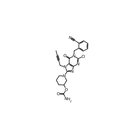 CC#CCn1c(N2CCCC(OC(N)=O)C2)nc2nc(Cl)n(Cc3ccccc3C#N)c(=O)c21